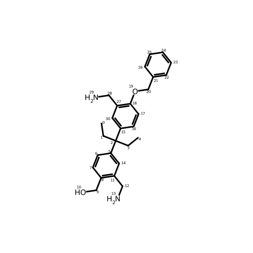 CCC(CC)(c1ccc(CO)c(CN)c1)c1ccc(OCc2ccccc2)c(CN)c1